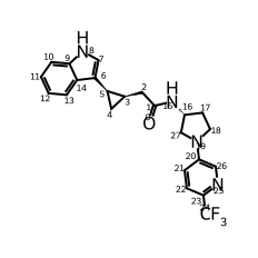 O=C(C[C@H]1C[C@H]1c1c[nH]c2ccccc12)N[C@@H]1CCN(c2ccc(C(F)(F)F)nc2)C1